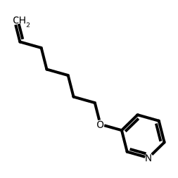 C=CCCCCCOc1cccnc1